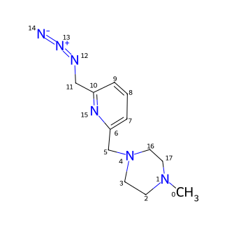 CN1CCN(Cc2cccc(CN=[N+]=[N-])n2)CC1